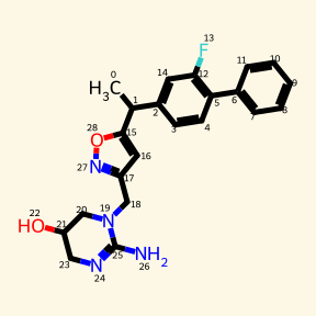 CC(c1ccc(-c2ccccc2)c(F)c1)c1cc(CN2CC(O)CN=C2N)no1